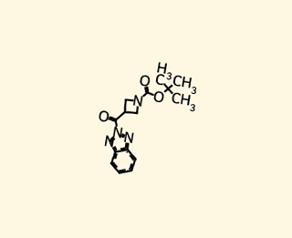 CC(C)(C)OC(=O)N1CC(C(=O)n2nc3ccccc3n2)C1